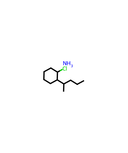 CCCC(C)C1CCCCC1Cl.N